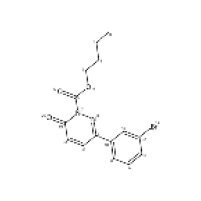 CCCCOC(=O)n1nc(-c2cccc(Br)c2)ccc1=O